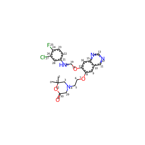 CC1(C)CN(CCOc2cc3cncnc3cc2OCNc2ccc(F)c(Cl)c2)CC(=O)O1